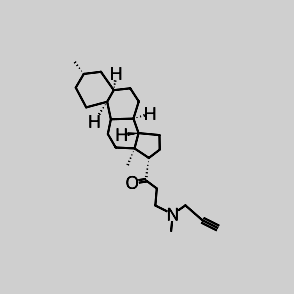 C#CCN(C)CCC(=O)[C@H]1CC[C@H]2[C@@H]3CC[C@@H]4C[C@@H](C)CC[C@@H]4C3CC[C@]12C